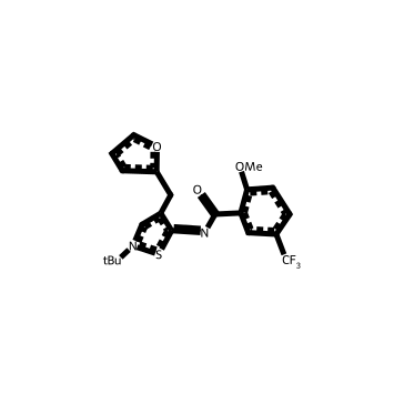 COc1ccc(C(F)(F)F)cc1C(=O)N=c1sn(C(C)(C)C)cc1Cc1ccco1